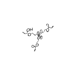 C=CC(=O)OCCOP(=O)(OCCOC(=O)C=C)OCCOC(O)C=C